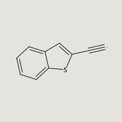 [C]#Cc1cc2ccccc2s1